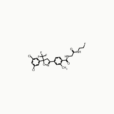 Cc1cc(C2=NOC(c3cc(Cl)cc(Cl)c3)(C(F)(F)F)C2)ccc1C(=O)NCC(=O)NCCF